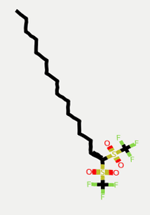 CCCCCCCCCCCCCCC=C(S(=O)(=O)C(F)(F)F)S(=O)(=O)C(F)(F)F